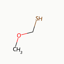 COCS